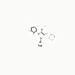 COC(=O)C1=C(CN2CCOCC2)NC(c2nccs2)=N[C@H]1c1ccc(F)c(F)c1Cl